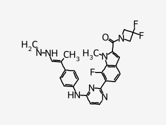 C=NN/C=C(\C)c1ccc(Nc2ccnc(-c3ccc4cc(C(=O)N5CC(F)(F)C5)n(C)c4c3F)n2)cc1